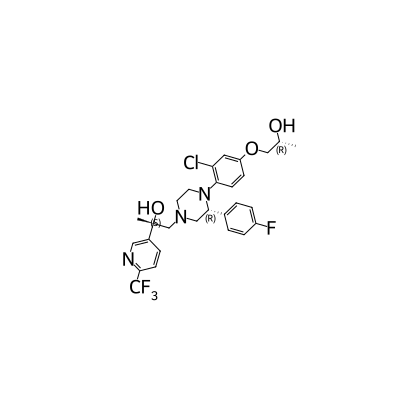 C[C@@H](O)COc1ccc(N2CCN(C[C@@](C)(O)c3ccc(C(F)(F)F)nc3)C[C@H]2c2ccc(F)cc2)c(Cl)c1